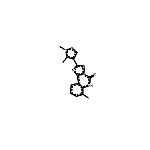 Cc1c(-c2nc3c4cccc(F)c4[nH]c(=O)n3n2)cnn1C